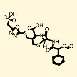 O=COC(C(=O)NC1C(=O)N2C(C(=O)O)=C(CSc3nnc(CS(=O)(=O)O)o3)CS[C@@H]12)c1ccccc1